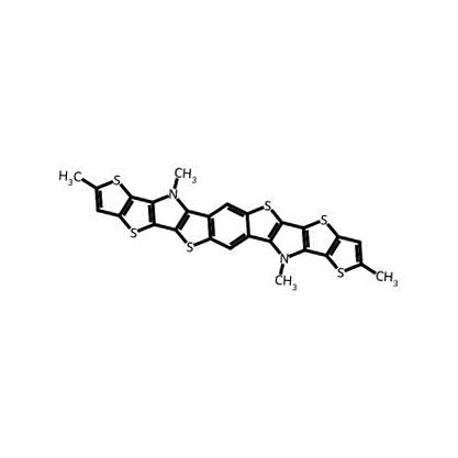 Cc1cc2sc3c4sc5cc6c(cc5c4n(C)c3c2s1)sc1c2sc3cc(C)sc3c2n(C)c61